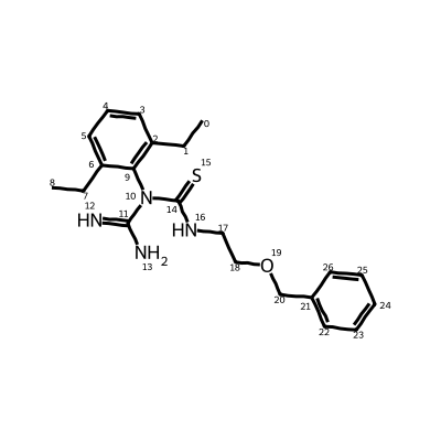 CCc1cccc(CC)c1N(C(=N)N)C(=S)NCCOCc1ccccc1